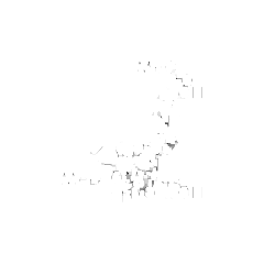 COC(=O)CC1(O)CCN(C(=O)C[C@H]2O[C@H](c3cccc(OC)c3OC)c3cc(Cl)ccc3N(CC(C)(CO)CO)C2=O)CC1